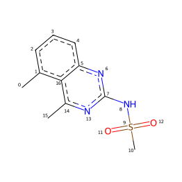 Cc1cccc2nc(NS(C)(=O)=O)nc(C)c12